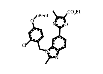 CCCCCOc1ccc(Cn2c(C)nc3ccc(-c4nc(C)c(C(=O)OCC)o4)cc32)c(Cl)c1